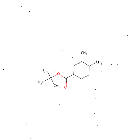 CC1CCC(C(=O)OC(C)(C)C)CC1C